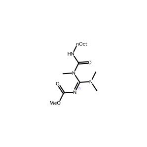 CCCCCCCCNC(=O)N(C)/C(=N\C(=O)OC)N(C)C